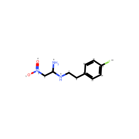 NC(C[N+](=O)[O-])NCCc1ccc(F)cc1